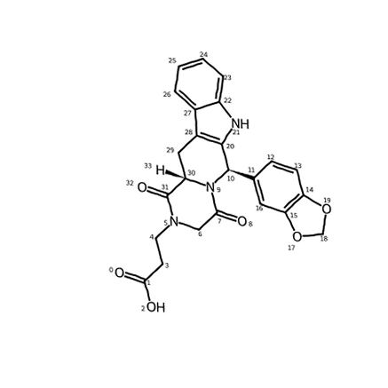 O=C(O)CCN1CC(=O)N2[C@H](c3ccc4c(c3)OCO4)c3[nH]c4ccccc4c3C[C@H]2C1=O